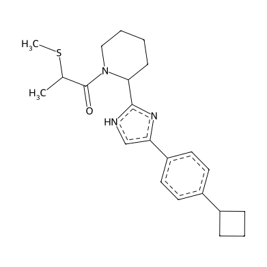 CSC(C)C(=O)N1CCCCC1c1nc(-c2ccc(C3CCC3)cc2)c[nH]1